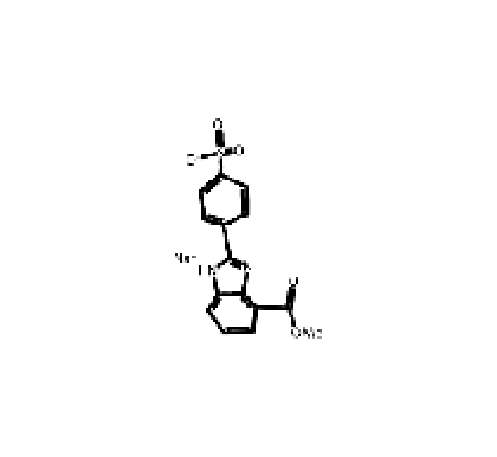 COC(=O)c1cccc2[nH]c(-c3ccc(S(=O)(=O)[O-])cc3)nc12.[Na+]